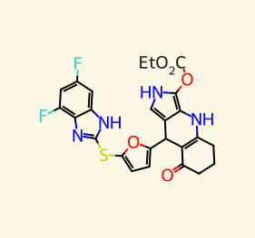 CCOC(=O)Oc1[nH]cc2c1NC1=C(C(=O)CCC1)C2c1ccc(Sc2nc3c(F)cc(F)cc3[nH]2)o1